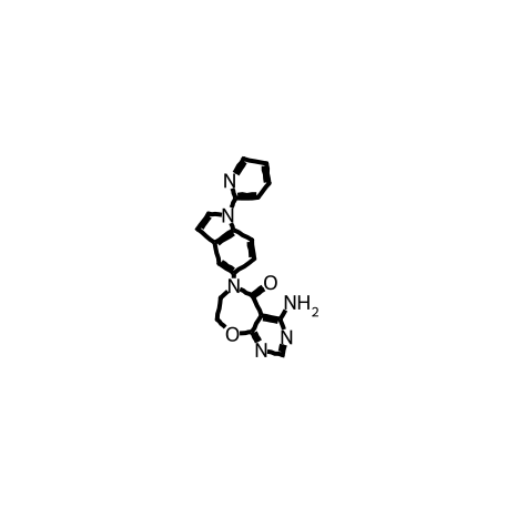 Nc1ncnc2c1C(=O)N(c1ccc3c(ccn3-c3ccccn3)c1)CCO2